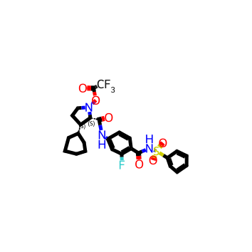 O=C(NS(=O)(=O)c1ccccc1)c1ccc(NC(=O)[C@@H]2[C@H](C3CCCCC3)CCN2OC(=O)C(F)(F)F)cc1F